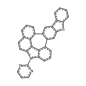 c1cnc(-n2c3cccc4c3c3c5c(cccc5ccc32)-c2cc3c(cc2-4)sc2ccccc23)nc1